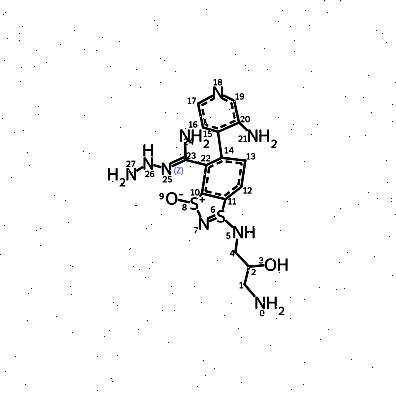 NCC(O)CNS1=N[S+]([O-])c2c1ccc(-c1ccncc1N)c2/C(N)=N/NN